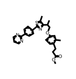 COC(=O)CCc1ccc(OCC(C)c2nc(-c3ccc(-c4ncccn4)cc3)sc2C)cc1C